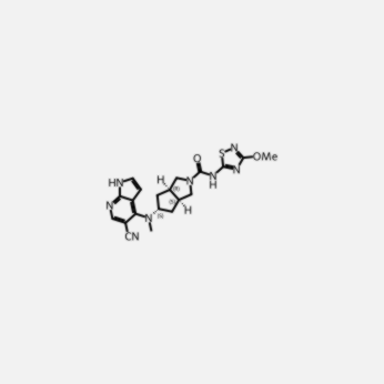 COc1nsc(NC(=O)N2C[C@H]3C[C@H](N(C)c4c(C#N)cnc5[nH]ccc45)C[C@H]3C2)n1